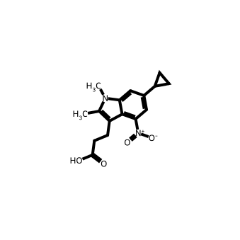 Cc1c(CCC(=O)O)c2c([N+](=O)[O-])cc(C3CC3)cc2n1C